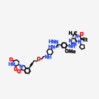 CC[C@@H]1C(=O)N(C)c2cnc(Nc3ccc(/C(=C/NC4CCC(NCCOCCC#Cc5cccc6c5CN(C5CCC(=O)NC5=O)C6=O)CC4)N=N)cc3OC)nc2N1C1CCCC1